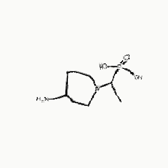 CC(N1CCC(N)CC1)P(=O)(O)O